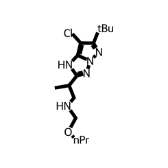 CCCOCNCC(C)c1nn2nc(C(C)(C)C)c(Cl)c2[nH]1